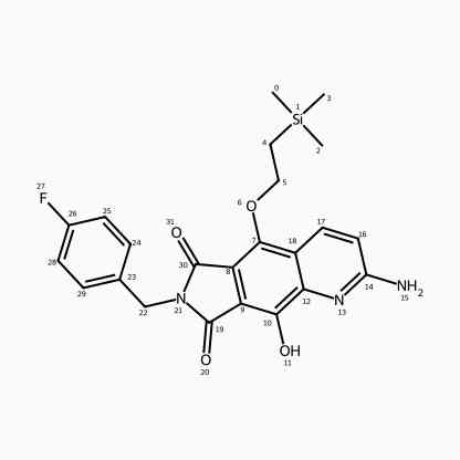 C[Si](C)(C)CCOc1c2c(c(O)c3nc(N)ccc13)C(=O)N(Cc1ccc(F)cc1)C2=O